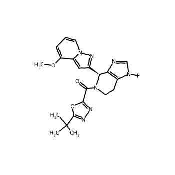 COc1cccn2nc([C@H]3c4ncn(F)c4CCN3C(=O)c3nnc(C(C)(C)C)o3)cc12